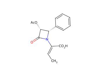 C/C=C(\C(=O)O)N1C(=O)[C@H](OC(C)=O)[C@@H]1c1ccccc1